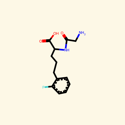 NCC(=O)NC(CCCc1ccccc1F)C(=O)O